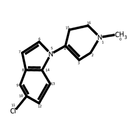 CN1CC=C(n2ccc3cc(Cl)ccc32)CC1